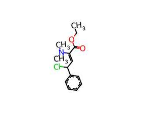 CCOC(=O)C(=CC(Cl)c1ccccc1)N(C)C